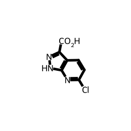 O=C(O)c1n[nH]c2nc(Cl)ccc12